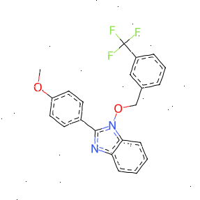 COc1ccc(-c2nc3ccccc3n2OCc2cccc(C(F)(F)F)c2)cc1